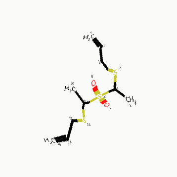 C=CCSC(C)S(=O)(=O)C(C)SCC=C